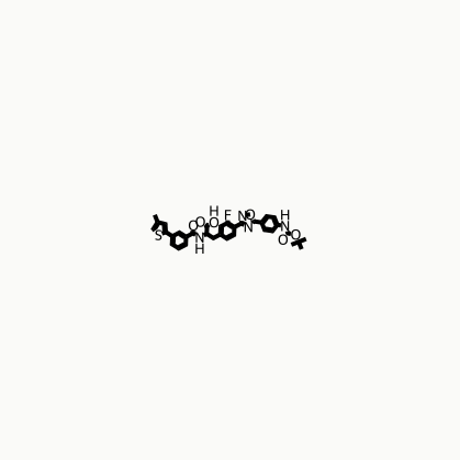 Cc1csc(-c2cccc(C(=O)NC(Cc3ccc(-c4noc(-c5ccc(NC(=O)OC(C)(C)C)cc5)n4)c(F)c3)C(=O)O)c2)c1